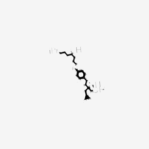 CC(C)CCCC(C)CCCOc1ccc(CCC(N)(CO)CC2CC2)cc1